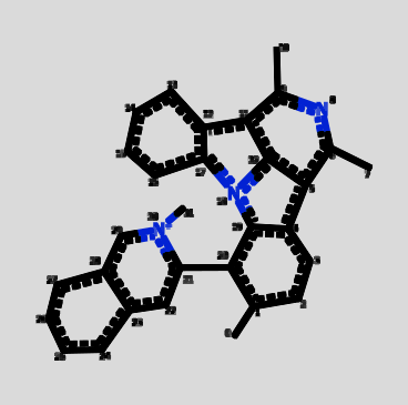 Cc1ccc2c3c(C)nc(C)c4c5ccccc5n(c2c1-c1cc2ccccc2c[n+]1C)c43